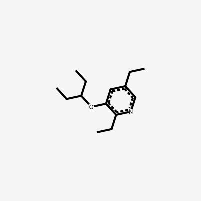 CCc1cnc(CC)c(OC(CC)CC)c1